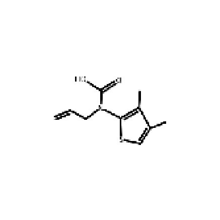 C=CCN(C(=O)O)c1scc(C)c1C